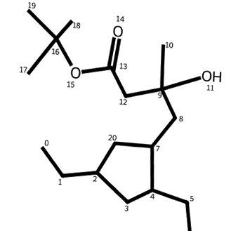 CCC1CC(CC)C(CC(C)(O)CC(=O)OC(C)(C)C)C1